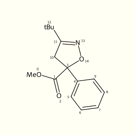 COC(=O)C1(c2ccccc2)CC(C(C)(C)C)=NO1